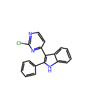 Clc1nccc(-c2c(-c3ccccc3)[nH]c3ccccc23)n1